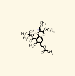 CO/C=C(/Oc1ccc(COC(C)=O)c(C)c1C(=O)OC(C)(C)C)C(=O)OC